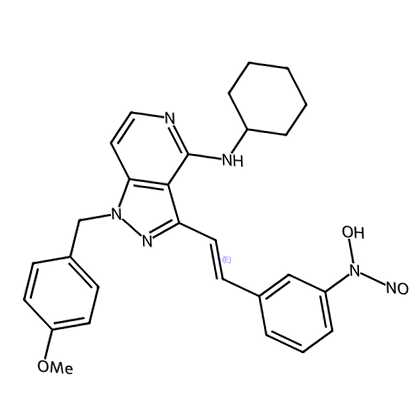 COc1ccc(Cn2nc(/C=C/c3cccc(N(O)N=O)c3)c3c(NC4CCCCC4)nccc32)cc1